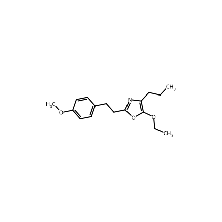 CCCc1nc(CCc2ccc(OC)cc2)oc1OCC